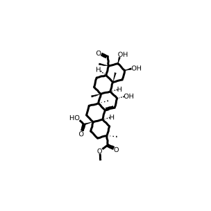 COC(=O)[C@@]1(C)CC[C@]2(C(=O)O)CC[C@]3(C)C(=C[C@@H](O)[C@@H]4[C@@]5(C)C[C@H](O)[C@H](O)[C@@](C)(C=O)[C@@H]5CC[C@]43C)[C@H]2C1